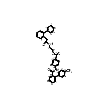 O=C(Cc1ccccc1-c1ccccc1)NCCOC(=O)c1ccc(NC(=O)c2ccccc2-c2ccc(C(F)(F)F)cc2)cc1